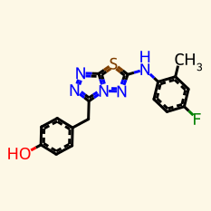 Cc1cc(F)ccc1Nc1nn2c(Cc3ccc(O)cc3)nnc2s1